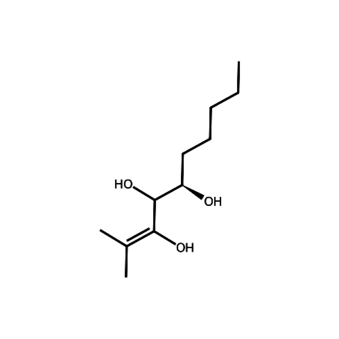 CCCCC[C@@H](O)C(O)C(O)=C(C)C